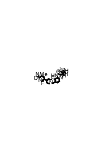 [2H]C([2H])([2H])C([2H])([2H])c1nc2ccc(CN3CC=C(c4ccc(C(=O)NC)nc4F)CC3)c(F)c2[nH]c1=O